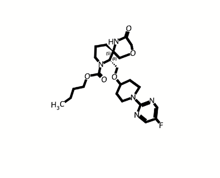 CCCCOC(=O)N1CCC[C@@]2(COCC(=O)N2)[C@@H]1COC1CCN(c2ncc(F)cn2)CC1